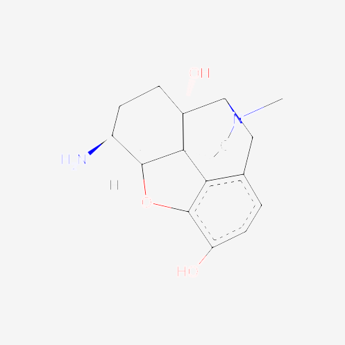 CN1CC[C@]23c4c5ccc(O)c4O[C@H]2[C@@H](N)CC[C@@]3(O)C1C5